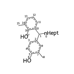 CCCCCCCC(c1ccc(O)c(C)c1)c1cccc(C)c1O